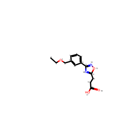 CCOCc1cccc(-c2noc(CCC(=O)O)n2)c1